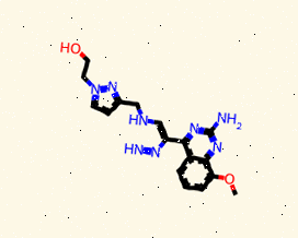 COc1cccc2c(/C(=C/NCc3ccn(CCO)n3)N=N)nc(N)nc12